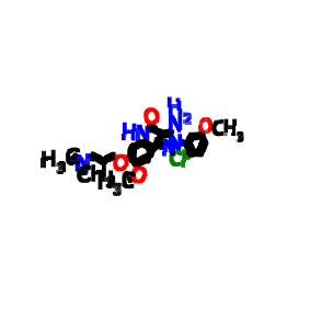 COc1ccc(Cl)c(-n2nc3c(c2N)c(=O)[nH]c2cc(OCCCN(C)C)c(OC)cc23)c1